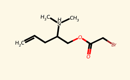 C=CCC(COC(=O)CBr)[SiH](C)C